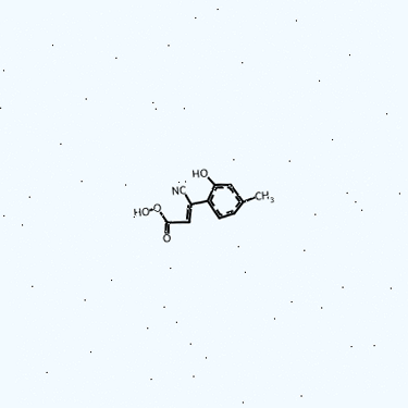 Cc1ccc(C(C#N)=CC(=O)OO)c(O)c1